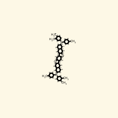 Cc1ccc(N(c2ccc(C)c(C)c2)c2ccc3cc4c(cc3c2)oc2cc3c(cc24)oc2cc4cc(N(c5ccc(C)cc5)c5ccc(C)c(C)c5)ccc4cc23)cc1